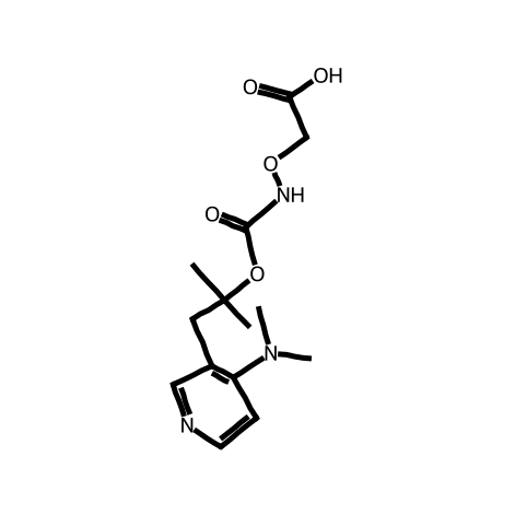 CN(C)c1ccncc1CC(C)(C)OC(=O)NOCC(=O)O